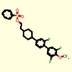 O=S(=O)(OCCC1CCC(c2ccc(-c3cc(F)c(OC(F)(F)F)c(F)c3)c(F)c2)CC1)c1ccccc1